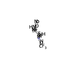 N=NN(/C=C/Cc1cc(C(F)(F)F)ccn1)CC(F)CCc1nnc(NC(=O)Cc2ccccn2)s1